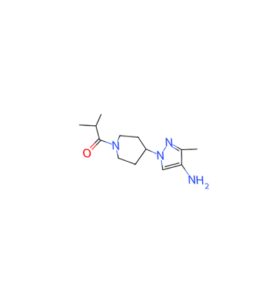 Cc1nn(C2CCN(C(=O)C(C)C)CC2)cc1N